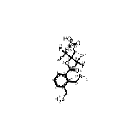 BCc1cccc(C(=O)OC(CS(=O)(=O)O)(C(F)(F)F)C(F)(F)F)c1CB